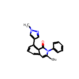 Cn1cc(-c2cccc3cc(C(C)(C)C)n(-c4ccccc4)c(=O)c23)cn1